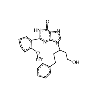 CCCOc1ccccc1-c1nc2c(ncn2C(CCO)CCc2ccccc2)c(=O)[nH]1